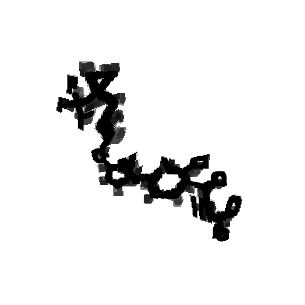 O=C(N[SH](=O)=O)c1ccc(-n2ccc(OCCCC3(C(F)(F)F)CC3)n2)nc1Cl